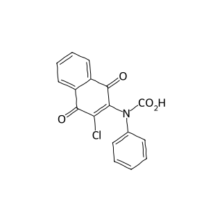 O=C1C(Cl)=C(N(C(=O)O)c2ccccc2)C(=O)c2ccccc21